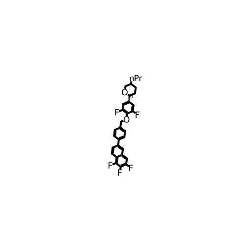 CCCC1CC[C@@H](c2cc(F)c(OCc3ccc(-c4ccc5c(F)c(F)c(F)cc5c4)cc3)c(F)c2)OC1